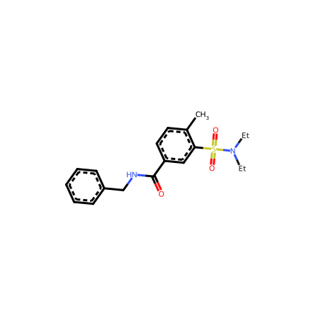 CCN(CC)S(=O)(=O)c1cc(C(=O)NCc2ccccc2)ccc1C